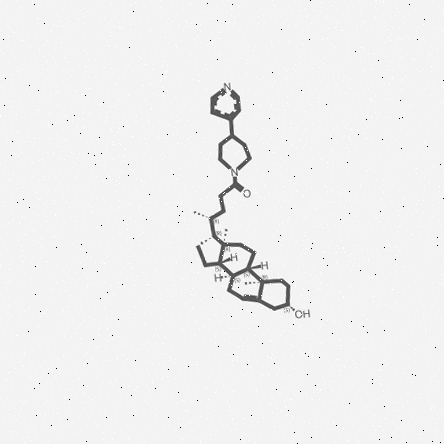 C[C@H](CCC(=O)N1CCC(c2ccncc2)CC1)[C@H]1CC[C@H]2[C@@H]3CC=C4C[C@@H](O)CC[C@]4(C)[C@H]3CC[C@]12C